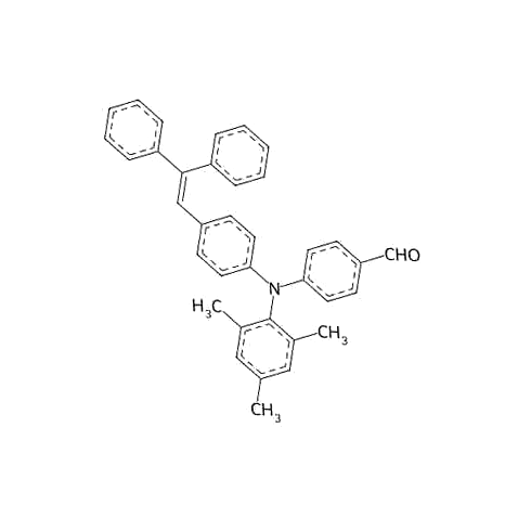 Cc1cc(C)c(N(c2ccc(C=O)cc2)c2ccc(C=C(c3ccccc3)c3ccccc3)cc2)c(C)c1